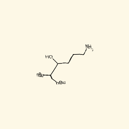 CCCCC(CCCC)C(O)CCCN